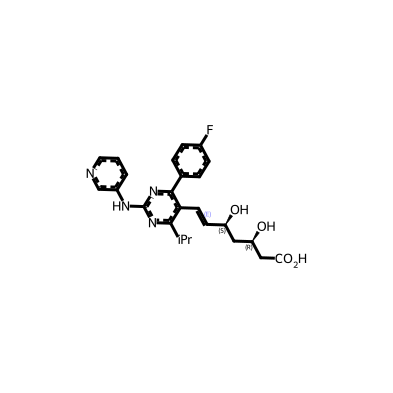 CC(C)c1nc(Nc2cccnc2)nc(-c2ccc(F)cc2)c1/C=C/[C@@H](O)C[C@@H](O)CC(=O)O